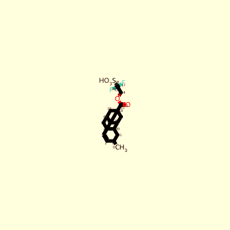 CC1C=C2C3CC4CC(CC2(C(=O)OCC(F)(F)S(=O)(=O)O)C4)C3C1